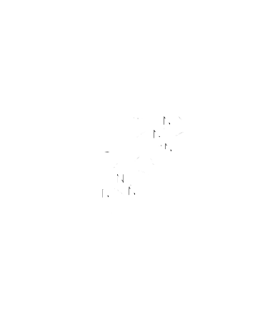 C1=CC(n2c(-c3ccc(-c4nc5c(n4-c4ccccc4)N=CCC5)cc3)nc3cccnc32)=CCC1